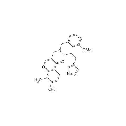 COc1cc(CN(CCCn2ccnc2)Cc2coc3c(C)c(C)ccc3c2=O)ccn1